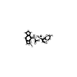 C[C@H]1Cn2ncc(S(N)(=O)=NC(=O)Nc3c4c(cc5c3[C@@H](C)C5)CCC4)c2O1